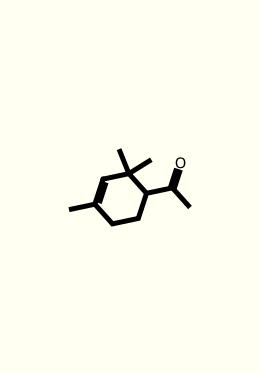 CC(=O)C1CCC(C)=CC1(C)C